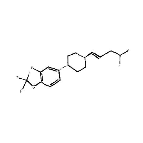 Fc1cc([C@H]2CC[C@H](C=CCC(F)F)CC2)ccc1OC(F)(F)F